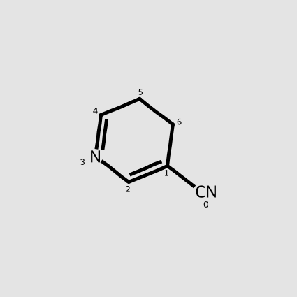 N#CC1=CN=CCC1